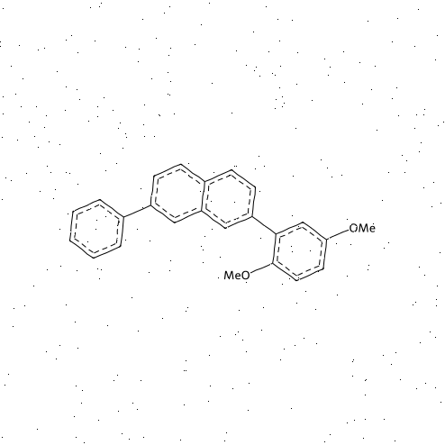 COc1ccc(OC)c(-c2ccc3ccc(-c4ccccc4)cc3c2)c1